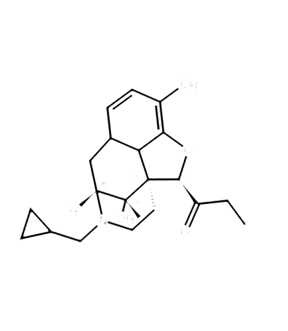 CCC(=O)[C@@H]1OC2=C(O)C=CC3C[C@H]4N(CC5CC5)CC[C@@]1(C23)[C@]4(C)O